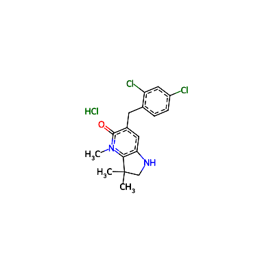 Cl.Cn1c2c(cc(Cc3ccc(Cl)cc3Cl)c1=O)NCC2(C)C